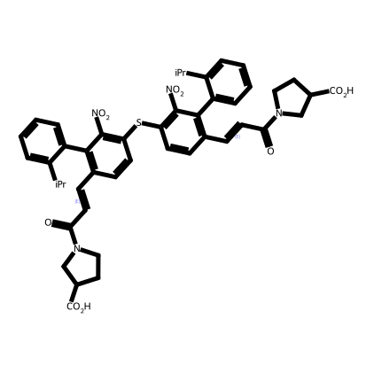 CC(C)c1ccccc1-c1c(/C=C/C(=O)N2CCC(C(=O)O)C2)ccc(Sc2ccc(/C=C/C(=O)N3CCC(C(=O)O)C3)c(-c3ccccc3C(C)C)c2[N+](=O)[O-])c1[N+](=O)[O-]